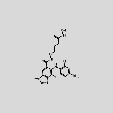 Bc1ccc(Nc2c(C(=O)NOCCCC(=O)NO)cc3c(ncn3C)c2F)c(Cl)c1